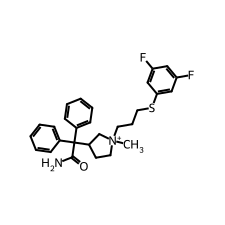 C[N+]1(CCCSc2cc(F)cc(F)c2)CCC(C(C(N)=O)(c2ccccc2)c2ccccc2)C1